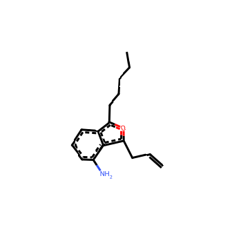 C=CCc1oc(CCCCC)c2cccc(N)c12